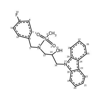 CS(=O)(=O)N(Cc1ccc(F)cc1)CC(O)Cn1c2ccccc2c2ccccc21